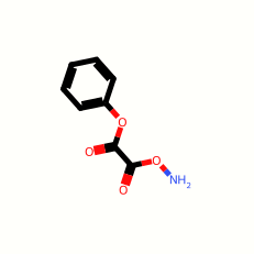 NOC(=O)C(=O)Oc1ccccc1